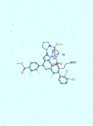 COC(=O)c1ccc(-c2nc3c(F)c(-c4cccc(Cl)c4Cl)c(CCC#N)cc3c3c2cc([C@H]2CCCN2C(=O)OC)n3[C@H]2[C@@H]3C[C@H]2N(C(=O)O)C3)c(F)c1F